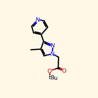 Cc1cn(CC(=O)OC(C)(C)C)nc1-c1ccncc1